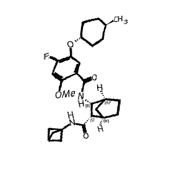 COc1cc(F)c(O[C@H]2CC[C@H](C)CC2)cc1C(=O)N[C@@H]1[C@H]2CC[C@H](C2)[C@@H]1C(=O)NC12CC(C1)C2